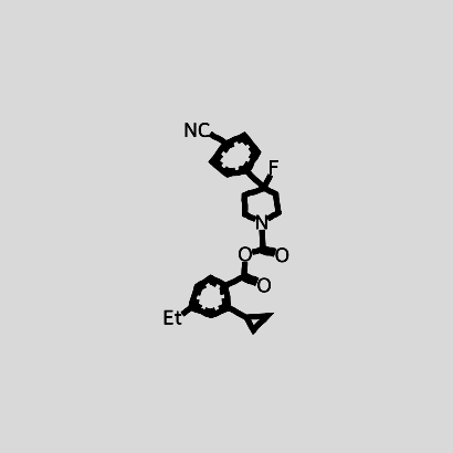 CCc1ccc(C(=O)OC(=O)N2CCC(F)(c3ccc(C#N)cc3)CC2)c(C2CC2)c1